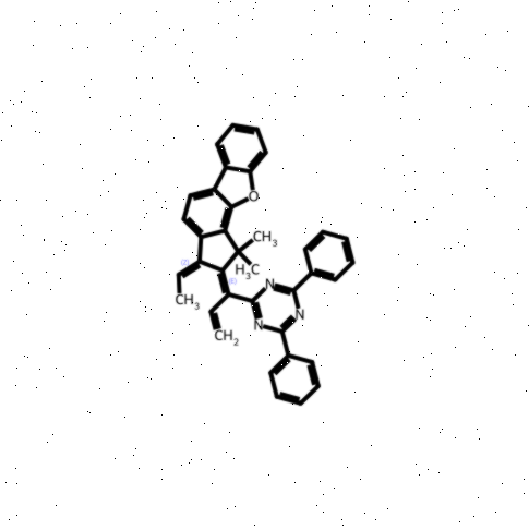 C=C/C(=C1\C(=C/C)c2ccc3c(oc4ccccc43)c2C1(C)C)c1nc(-c2ccccc2)nc(-c2ccccc2)n1